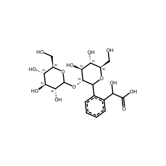 O=C(O)C(O)c1ccccc1C1O[C@H](CO)[C@@H](O)[C@H](O)[C@H]1OC1O[C@H](CO)[C@@H](O)[C@H](O)[C@H]1O